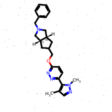 Cc1cnn(C)c1-c1ccc(OCC2C[C@@H]3CN(Cc4ccccc4)C[C@@H]3C2)nn1